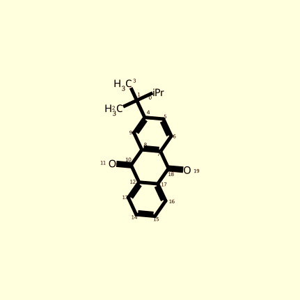 CC(C)C(C)(C)c1ccc2c(c1)C(=O)c1ccccc1C2=O